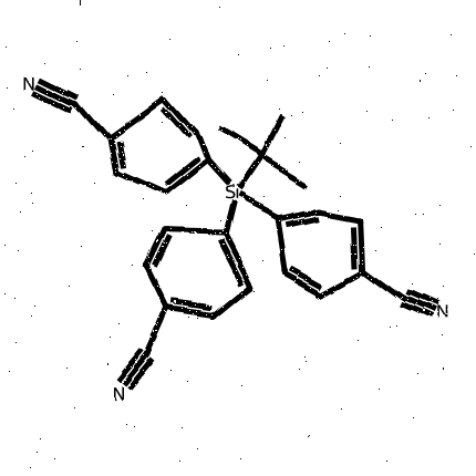 CC(C)(C)[Si](c1ccc(C#N)cc1)(c1ccc(C#N)cc1)c1ccc(C#N)cc1